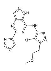 COCCn1ncc(Nc2nc(-c3cocn3)nc3cn[nH]c23)c1Cl